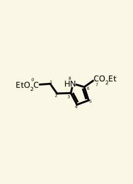 CCOC(=O)CCc1ccc(C(=O)OCC)[nH]1